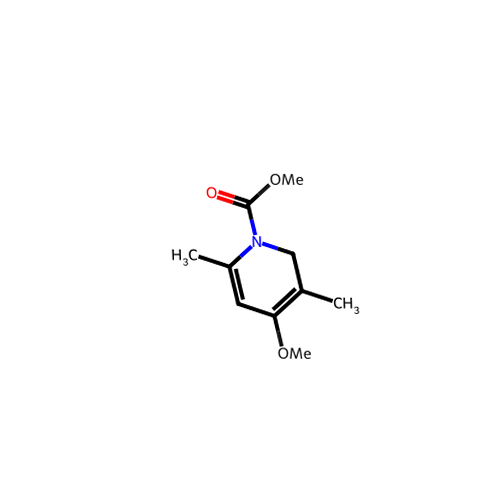 COC(=O)N1CC(C)=C(OC)C=C1C